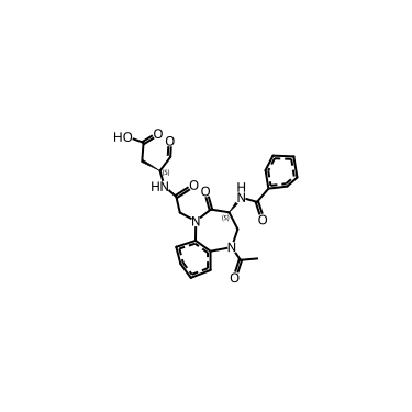 CC(=O)N1C[C@H](NC(=O)c2ccccc2)C(=O)N(CC(=O)N[C@H](C=O)CC(=O)O)c2ccccc21